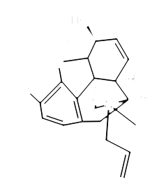 C=CC[N+]1(C)CC[C@]23c4c5ccc(O)c4O[C@H]2[C@@H](O)C=C[C@H]3[C@H]1C5